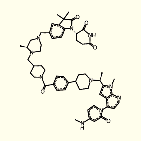 CNc1ccn(-c2ccnc3c2cc([C@H](C)N2CCC(c4ccc(C(=O)N5CCC(CN6CCN(Cc7ccc8c(c7)C(C)(C)C(=O)N8[C@H]7CCC(=O)NC7=O)C[C@@H]6C)CC5)cc4)CC2)n3C)c(=O)c1